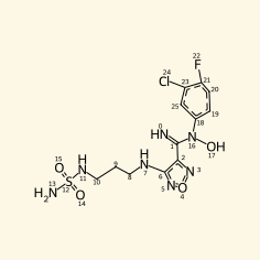 N=C(c1nonc1NCCCNS(N)(=O)=O)N(O)c1ccc(F)c(Cl)c1